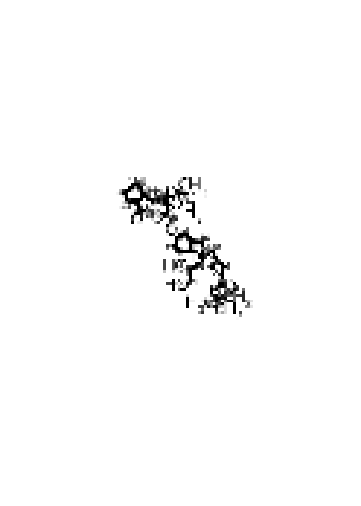 CC(C)(C)OC(=O)[C@H](COc1ccc2c(c1)cn(CC1CN(C(=O)OC(C)(C)C)C1)[n+]2CC(O)CO)ON1C(=O)c2ccccc2C1=O